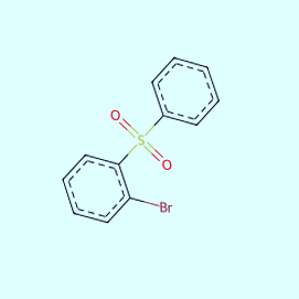 O=S(=O)(c1ccccc1)c1ccccc1Br